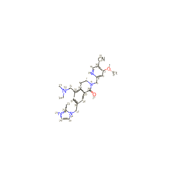 CCOc1cc(CN2CCc3c(CN(C)C)cc(Cn4ccnc4C)cc3C2=O)ncc1C#N